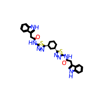 O=C(Cc1c[nH]c2ccccc12)Nc1nnc([C@H]2CCC[C@H](c3nnc(NC(=O)Cc4c[nH]c5ccccc45)s3)C2)s1